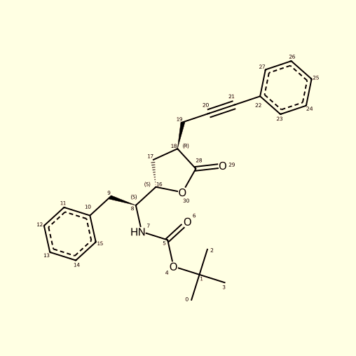 CC(C)(C)OC(=O)N[C@@H](Cc1ccccc1)[C@@H]1C[C@@H](CC#Cc2ccccc2)C(=O)O1